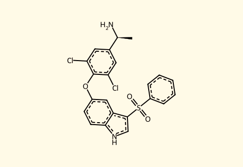 C[C@H](N)c1cc(Cl)c(Oc2ccc3[nH]cc(S(=O)(=O)c4ccccc4)c3c2)c(Cl)c1